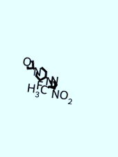 Cc1c([N+](=O)[O-])cnn1[C@@H]1CCN(C2COC2)CC1F